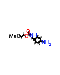 COCCOC(=O)NCc1ccc(N)cc1